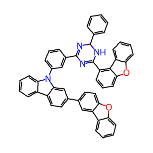 c1ccc(C2N=C(c3cccc(-n4c5ccccc5c5ccc(-c6ccc7oc8ccccc8c7c6)cc54)c3)N=C(c3cccc4oc5ccccc5c34)N2)cc1